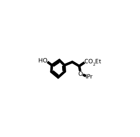 CCOC(=O)C(Cc1cccc(O)c1)OC(C)C